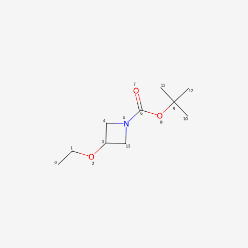 CCOC1CN(C(=O)OC(C)(C)C)C1